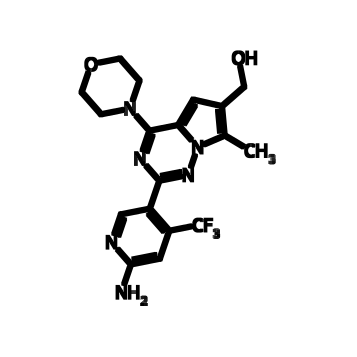 Cc1c(CO)cc2c(N3CCOCC3)nc(-c3cnc(N)cc3C(F)(F)F)nn12